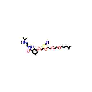 CC(C)CCCOCCOCCOC(COc1cccc(C(=O)NCCNC(C)C)c1)SC#N